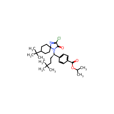 CC(C)OC(=O)c1ccc([C@@H](CCC(C)(C)C)N2C(=O)C(Cl)=NC23CCC(C(C)(C)C)CC3)cc1